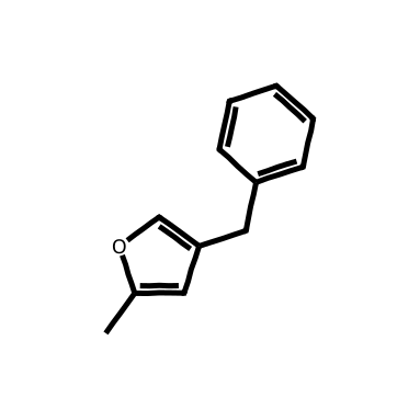 Cc1cc(Cc2ccccc2)co1